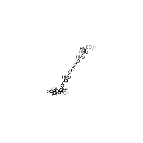 C[C@]12C=CC(=O)C=C1[C@@H](F)C[C@H]1C3CC[C@](O[C@@H](O)c4ccc(Cc5cccc(NC(=O)CCOCCOCCOCCOCCNC(=O)CCNC(=O)C(S)CC(=O)O)c5)cc4)(C(=O)CO)[C@@]3(C)C[C@H](O)[C@@]12F